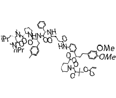 C=CC(=O)OCC(C)(C)C(=O)C(=O)N1CCCCC1C(=O)O[C@H](CCc1ccc(OC)c(OC)c1)c1cccc(NC(=O)CCC(=O)N[C@H](C(=O)N[C@@H](Cc2ccc(C)cc2)C(=O)N2CCC[C@H]2C(=O)N(C)[C@@H](CC(C)C)C(=O)N(C)CCC)c2ccccc2)c1